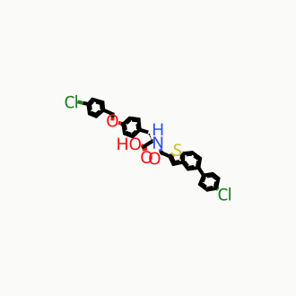 O=C(N[C@@H](Cc1ccc(OCc2ccc(Cl)cc2)cc1)C(=O)O)c1cc2cc(-c3ccc(Cl)cc3)ccc2s1